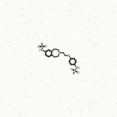 CS(=O)(=O)Nc1ccc(OCCN2CCc3ccc(NS(C)(=O)=O)cc3CC2)cc1